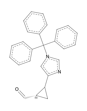 O=C[C@H]1CC1c1cn(C(c2ccccc2)(c2ccccc2)c2ccccc2)cn1